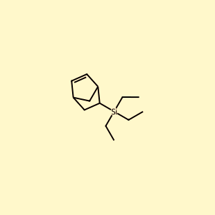 CC[Si](CC)(CC)C1CC2C=CC1C2